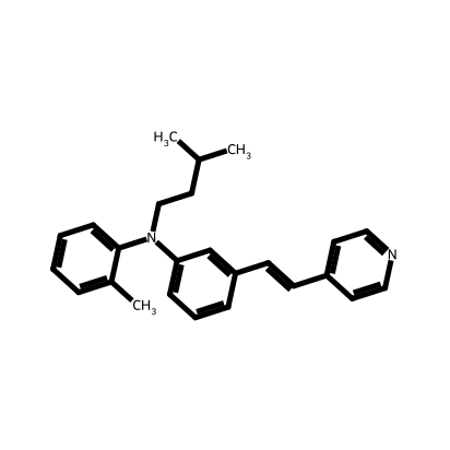 Cc1ccccc1N(CCC(C)C)c1cccc(/C=C/c2ccncc2)c1